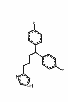 Fc1ccc(C([CH]CCc2c[nH]cn2)c2ccc(F)cc2)cc1